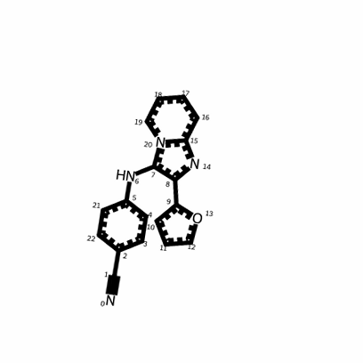 N#Cc1ccc(Nc2c(-c3ccco3)nc3ccccn23)cc1